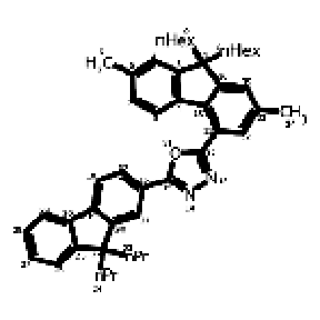 CCCCCCC1(CCCCCC)c2cc(C)ccc2-c2c(-c3nnc(-c4ccc5c(c4)C(CCC)(CCC)c4ccccc4-5)o3)cc(C)cc21